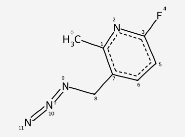 Cc1nc(F)ccc1CN=[N+]=[N-]